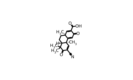 CC1(C)C(=O)C(C#N)=C[C@]2(C)C3=CC(=O)C(C(=O)O)=C[C@]3(C)CC[C@@H]12